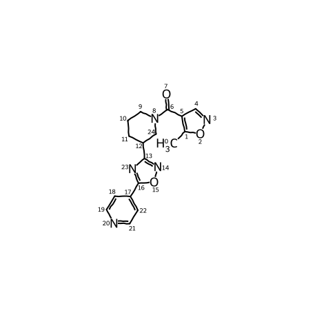 Cc1oncc1C(=O)N1CCCC(c2noc(-c3ccncc3)n2)C1